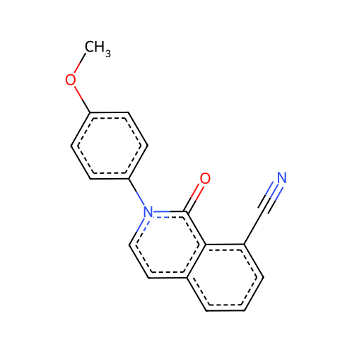 COc1ccc(-n2ccc3cccc(C#N)c3c2=O)cc1